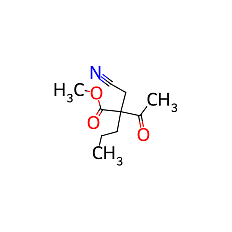 CCCC(CC#N)(C(C)=O)C(=O)OC